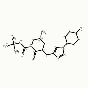 CC1CCC(n2cnc(CC3C[C@@H](C)CN(C(=O)OC(C)(C)C)C3=O)c2)CC1